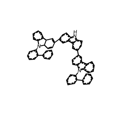 C1=CC2C(C=C1c1ccc3[nH]c4ccc(-c5ccc6c(c5)c5ccccc5n6-c5ccccc5-c5ccccc5)cc4c3c1)c1ccccc1N2c1ccccc1-c1ccccc1